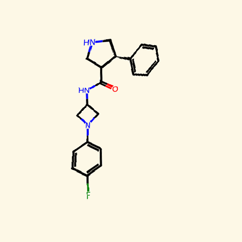 O=C(NC1CN(c2ccc(F)cc2)C1)C1CNC[C@H]1c1ccccc1